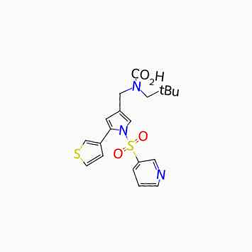 CC(C)(C)CN(Cc1cc(-c2ccsc2)n(S(=O)(=O)c2cccnc2)c1)C(=O)O